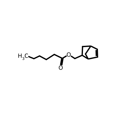 CCCCCC(=O)OCC1CC2C=CC1C2